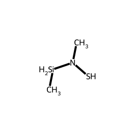 C[SiH2]N(C)S